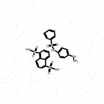 NNc1ccc(NS(=O)(=O)c2ccccc2)cc1.O=S(=O)(O)c1cccc2c(S(=O)(=O)O)cccc12